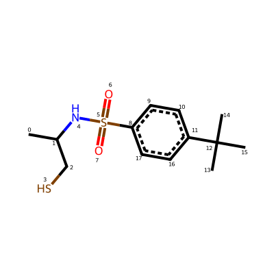 CC(CS)NS(=O)(=O)c1ccc(C(C)(C)C)cc1